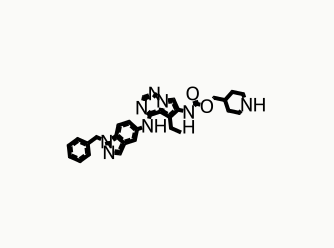 CCc1c(NC(=O)OCC2CCNCC2)cn2ncnc(Nc3ccc4c(cnn4Cc4ccccc4)c3)c12